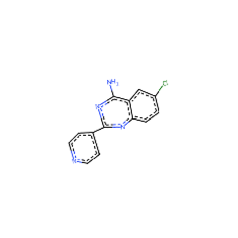 Nc1nc(-c2ccncc2)nc2ccc(Cl)cc12